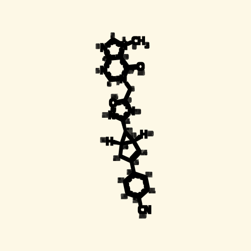 Cn1cnc2ncn(Cc3nc([C@H]4[C@@H]5C=C(c6ccc(C#N)cc6)C[C@@H]54)no3)c(=O)c21